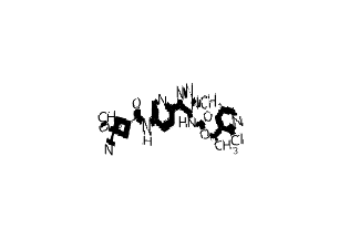 CO[C@]1(C#N)C[C@H](C(=O)Nc2ccc(-c3nnn(C)c3NC(=O)O[C@H](C)c3cccnc3Cl)nc2)C1